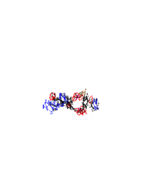 C[C@H]1[C@H]2OP(=O)(S)OC[C@H]3C[C@@H](Oc4ccncn4)C[C@@H]3OP(=O)(O)OC[C@H]1O[C@H]2n1cnc2c(=O)[nH]c(N)nc21